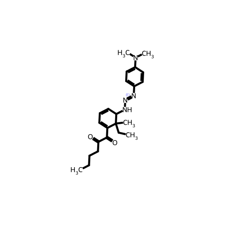 CCCCC(=O)C(=O)C1=CC=CC(N/N=N/c2ccc(N(C)C)cc2)C1(C)CC